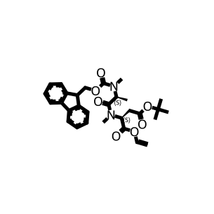 C=COC(=O)[C@H](CC(=O)OC(C)(C)C)N(C)C(=O)[C@H](C)N(C)C(=O)OCC1c2ccccc2-c2ccccc21